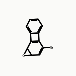 BrC1=CC2OC2C2=C1c1ccccc12